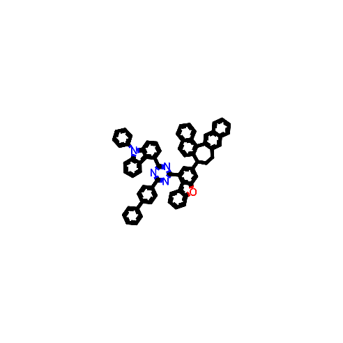 c1ccc(-c2ccc(-c3nc(-c4cc(C5CCc6cc7ccccc7cc6-c6c5ccc5ccccc65)cc5oc6ccccc6c45)nc(-c4cccc5c4c4ccccc4n5-c4ccccc4)n3)cc2)cc1